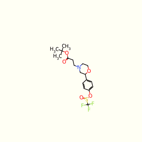 CC(C)(C)OC(=O)CCN1CCOC(c2ccc(OS(=O)C(F)(F)F)cc2)C1